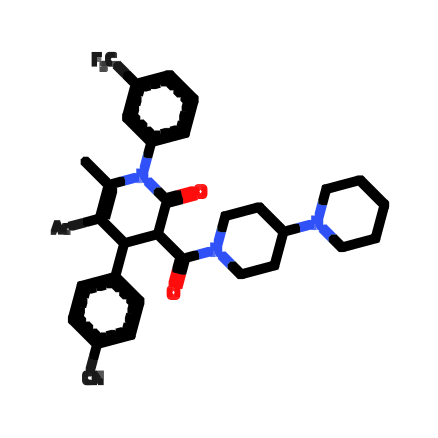 CC(=O)C1=C(C)N(c2cccc(C(F)(F)F)c2)C(=O)C(C(=O)N2CCC(N3CCCCC3)CC2)C1c1ccc(C#N)cc1